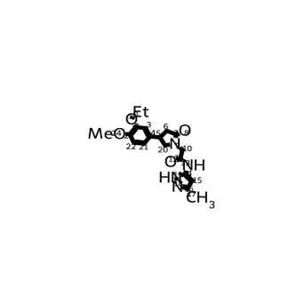 CCOc1cc(C2CC(=O)N(CC(=O)Nc3cc(C)n[nH]3)C2)ccc1OC